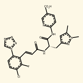 Cc1cc(C[C@H](NC(=O)/C=C/c2c(-n3cnnn3)ccc(Cl)c2F)C(=O)Nc2ccc(C(=O)O)cn2)nn1C